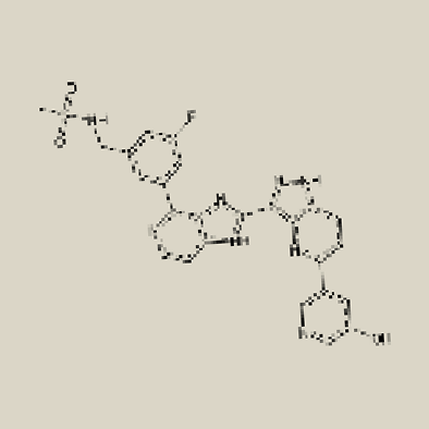 CS(=O)(=O)NCc1cc(F)cc(-c2nccc3[nH]c(-c4n[nH]c5ccc(-c6cncc(O)c6)nc45)nc23)c1